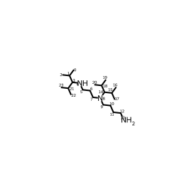 CC(C)C(NCCCN(CCCCN)C(C(C)C)C(C)C)C(C)C